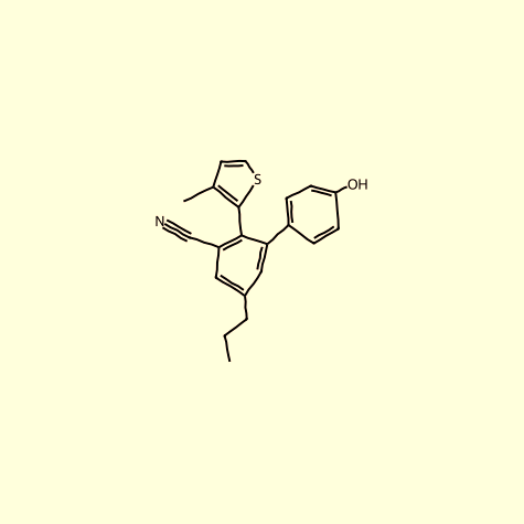 CCCc1cc(C#N)c(-c2sccc2C)c(-c2ccc(O)cc2)c1